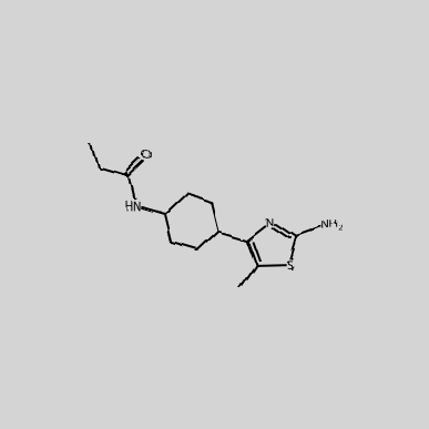 CCC(=O)NC1CCC(c2nc(N)sc2C)CC1